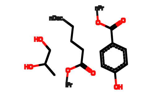 CC(O)CO.CCCCCCCCCCCCCC(=O)OC(C)C.CCCOC(=O)c1ccc(O)cc1